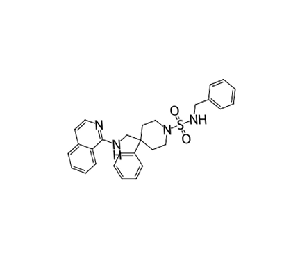 O=S(=O)(NCc1ccccc1)N1CCC(CNc2nccc3ccccc23)(c2ccccc2)CC1